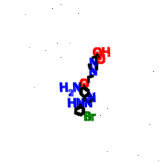 Nc1cc2c(Nc3cccc(Br)c3)ncnc2cc1OCCCN1CCN(CC(=O)O)CC1